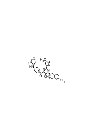 Cc1cc(-c2nc(C(=O)N3CCC(N[C@H]4CCOC[C@H]4F)CC3)c(C)c(N3CCc4cc(C(F)(F)F)ccc4C3)n2)no1